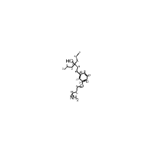 CCCC(O)(CCC)CCc1cccc(OCCCN)c1